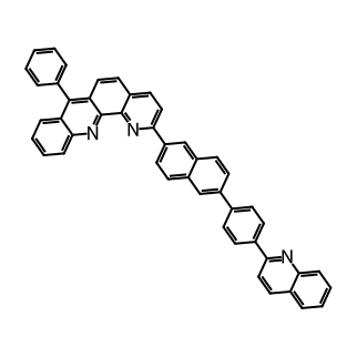 c1ccc(-c2c3ccccc3nc3c2ccc2ccc(-c4ccc5cc(-c6ccc(-c7ccc8ccccc8n7)cc6)ccc5c4)nc23)cc1